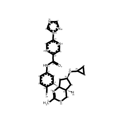 CC1=N[C@@]2(c3cc(NC(=O)c4cnc(-n5cncn5)cn4)ccc3F)C[C@@H](OC3CC3)C[C@H]2CS1